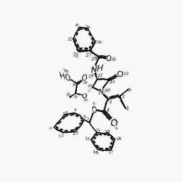 CC(C)=C(C(=O)OC(c1ccccc1)c1ccccc1)N1C(=O)[C@H](NC(=O)c2ccccc2)[C@H]1O[C@@H](C)C(=O)O